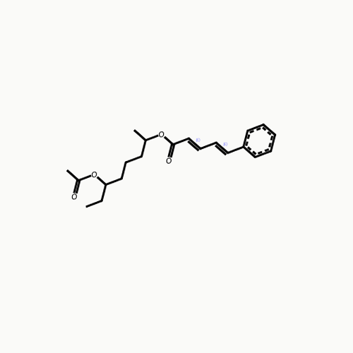 CCC(CCCC(C)OC(=O)/C=C/C=C/c1ccccc1)OC(C)=O